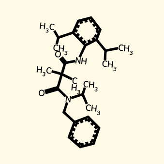 CC(C)c1cccc(C(C)C)c1NC(=O)C(C)(C)C(=O)N(Cc1ccccc1)C(C)C